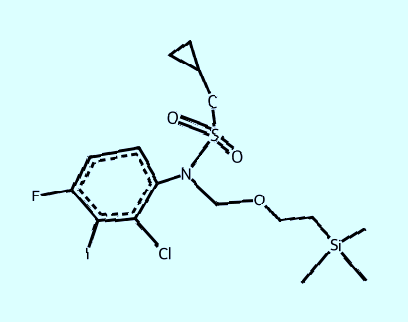 C[Si](C)(C)CCOCN(c1ccc(F)c(I)c1Cl)S(=O)(=O)CC1CC1